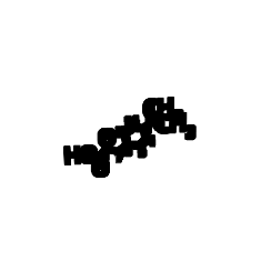 CN(C)c1ccc(CC(=O)C(=O)O)cc1